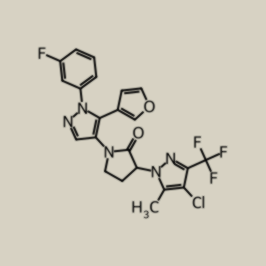 Cc1c(Cl)c(C(F)(F)F)nn1C1CCN(c2cnn(-c3cccc(F)c3)c2-c2ccoc2)C1=O